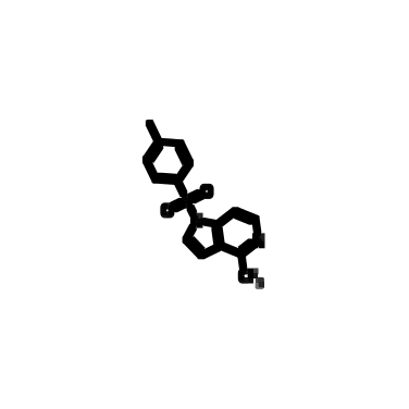 Cc1ccc(S(=O)(=O)n2ccc3c(C(F)(F)F)nccc32)cc1